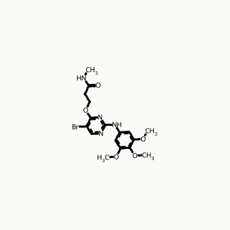 CNC(=O)CCOc1nc(Nc2cc(OC)c(OC)c(OC)c2)ncc1Br